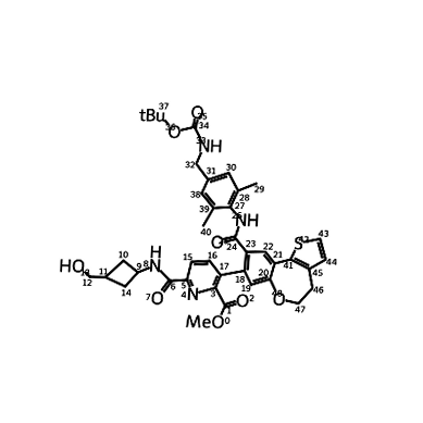 COC(=O)c1nc(C(=O)NC2CC(CO)C2)ccc1-c1cc2c(cc1C(=O)Nc1c(C)cc(CNC(=O)OC(C)(C)C)cc1C)-c1sccc1CCO2